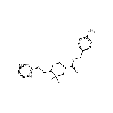 Cc1ccc(COC(=O)N2CCC(CNc3cnccn3)C(F)(F)C2)cc1